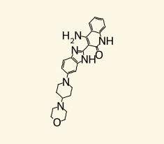 Nc1c(-c2nc3ccc(N4CCC(N5CCOCC5)CC4)cc3[nH]2)c(=O)[nH]c2ccccc12